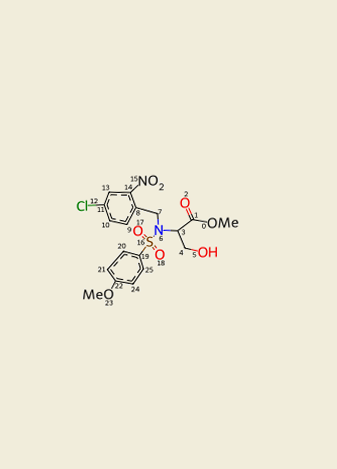 COC(=O)C(CO)N(Cc1ccc(Cl)cc1[N+](=O)[O-])S(=O)(=O)c1ccc(OC)cc1